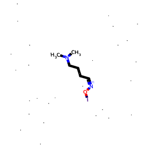 CN(C)CCC/C=N\OI